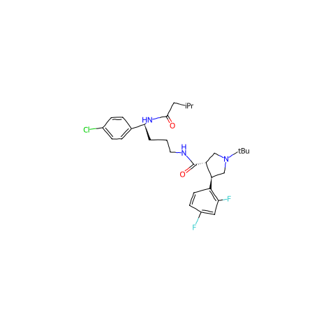 CC(C)CC(=O)N[C@@H](CCCNC(=O)[C@@H]1CN(C(C)(C)C)C[C@H]1c1ccc(F)cc1F)c1ccc(Cl)cc1